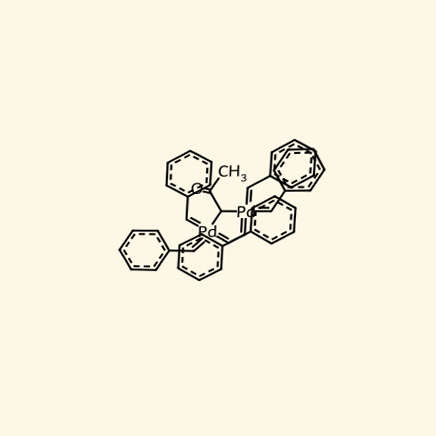 CC(=O)[CH]([Pd](=[CH]c1ccccc1)(=[CH]c1ccccc1)=[CH]c1ccccc1)[Pd](=[CH]c1ccccc1)(=[CH]c1ccccc1)=[CH]c1ccccc1